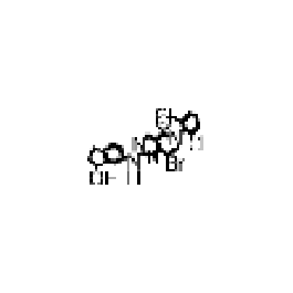 O=c1c2cnc(Nc3ccc4c(c3)C(O)CC4)nc2c(Br)cn1-c1c(Cl)cccc1Cl